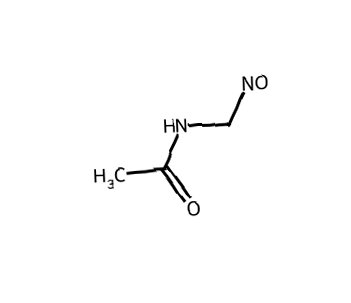 CC(=O)NCN=O